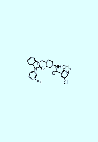 CC(=O)c1cccc(-n2c(=O)n(CC3CCC(NC(=O)c4cc(Cl)cnc4C)CC3)c3ccccc32)c1